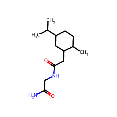 CC(C)C1CCC(C)C(CC(=O)NCC(N)=O)C1